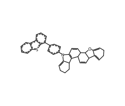 C1=CC2C(C=CC3C4=CCCC=C4OC32)C2=C1N(c1ccc(-c3cccc4c3sc3ccccc34)cc1)C1=CCCCC12